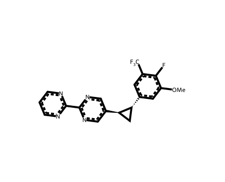 COc1cc([C@@H]2C[C@H]2c2cnc(-c3ncccn3)nc2)cc(C(F)(F)F)c1F